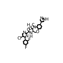 CN1C(=O)[C@@H](NC(=O)c2ncc(Cl)c(-c3ccc(F)cc3F)n2)COc2ccc(-c3cn[nH]c3)cc21